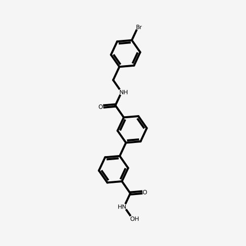 O=C(NO)c1cccc(-c2cccc(C(=O)NCc3ccc(Br)cc3)c2)c1